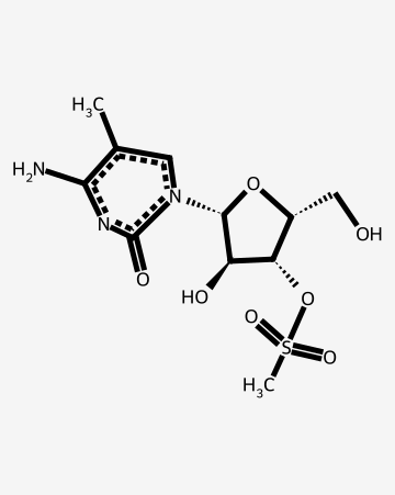 Cc1cn([C@@H]2O[C@H](CO)[C@H](OS(C)(=O)=O)[C@H]2O)c(=O)nc1N